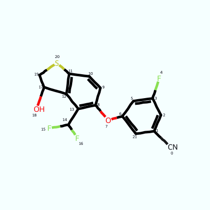 N#Cc1cc(F)cc(Oc2ccc3c(c2C(F)F)C(O)CS3)c1